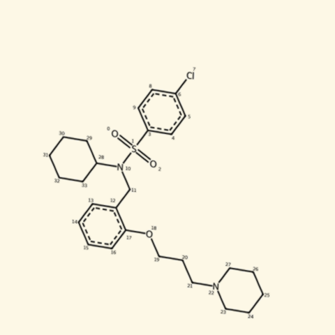 O=S(=O)(c1ccc(Cl)cc1)N(Cc1ccccc1OCCCN1CCCCC1)C1CCCCC1